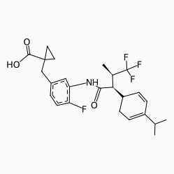 CC(C)C1=CCC([C@@H](C(=O)Nc2cc(CC3(C(=O)O)CC3)ccc2F)[C@@H](C)C(F)(F)F)C=C1